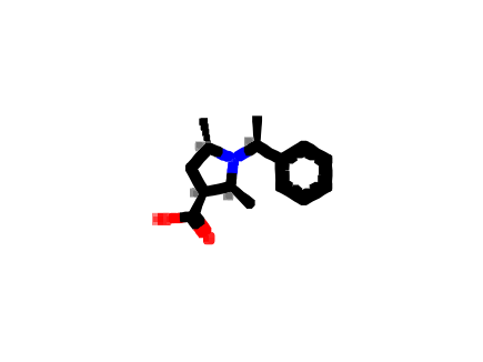 C[C@H]1C[C@H](C(=O)O)[C@H](C)N1[C@@H](C)c1ccccc1